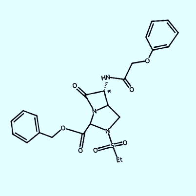 CCS(=O)(=O)N1CC2[C@@H](NC(=O)COc3ccccc3)C(=O)N2C1C(=O)OCc1ccccc1